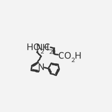 NCCc1cccn1-c1ccccc1.O=C(O)/C=C/C(=O)O